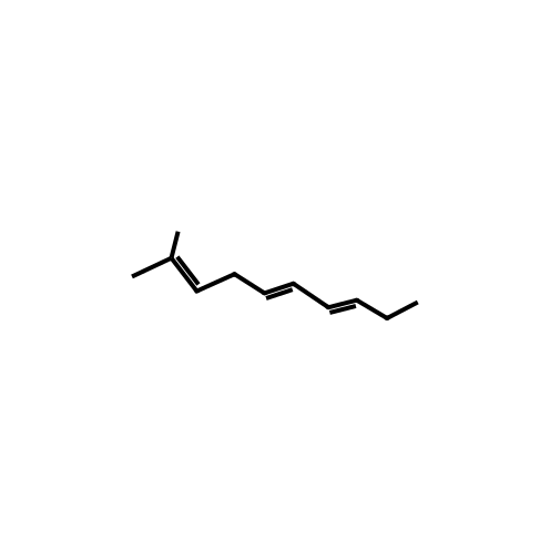 CCC=CC=CCC=C(C)C